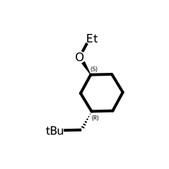 CCO[C@H]1CCC[C@H](CC(C)(C)C)C1